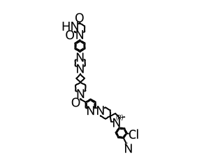 C[C@@H]1CC2(CCN(c3ccc(C(=O)N4CCC5(CC4)CC(N4CCN(c6ccc(N7CCC(=O)NC7=O)cc6)CC4)C5)cn3)CC2)CN1c1ccc(C#N)c(Cl)c1